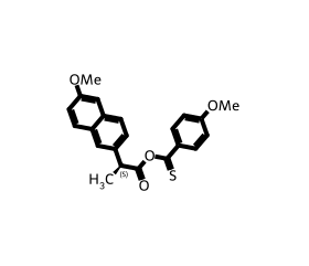 COc1ccc(C(=S)OC(=O)[C@@H](C)c2ccc3cc(OC)ccc3c2)cc1